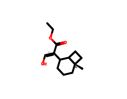 CCOC(=O)/C(=C/O)C1CCC[C@@]2(C)CCC12